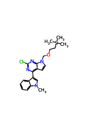 Cn1cc(-c2nc(Cl)nc3c2ccn3COCC[Si](C)(C)C)c2ccccc21